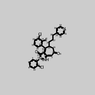 O=C1C=c2[nH]n(-c3ccccc3Cl)c(=O)c2=C(c2cccc(Cl)c2F)C(CCCc2ccncc2)C1